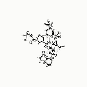 C=C[C@@H]1C[C@]1(NC(=O)[C@@H]1CN(C(=O)OC(C)(C)C)C[C@H]1c1cc(C(F)(F)F)cc(C(F)(F)F)c1)C(=O)NS(=O)(=O)c1cccc2cc[nH]c12